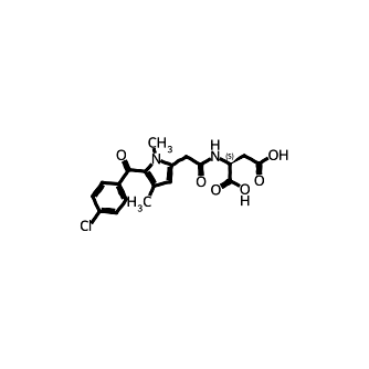 Cc1cc(CC(=O)N[C@@H](CC(=O)O)C(=O)O)n(C)c1C(=O)c1ccc(Cl)cc1